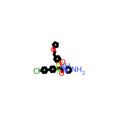 NC1CCN(C(=O)[C@H](NS(=O)(=O)c2ccc(CCOC3CCCC3)cc2)C(F)(F)c2ccc(-c3ccc(Cl)cc3)cc2)CC1